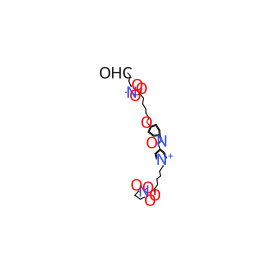 CN(OC(=O)CCCCCOc1ccc2nc(-c3cc[n+](CCCCCC(=O)ON4C(=O)CCC4=O)cc3)oc2c1)C(=O)CCC=O